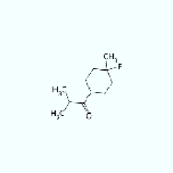 CC(C)C(=O)C1CCC(C)(F)CC1